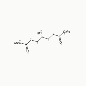 COC(=O)CCCCCC(=O)OC.Cl